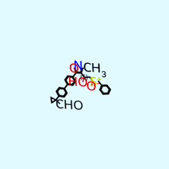 Cc1noc(-c2ccc(-c3ccc(C4(C=O)CC4)cc3)cc2)c1[C@H](O)C[S+]([O-])Cc1ccccc1